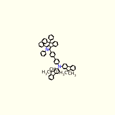 CC1(C)c2ccccc2-c2ccc(N(c3ccc(-c4ccc(-c5c6c(c(C7=CCCC=C7)n5-c5ccccc5)C(c5ccccc5)(c5ccccc5)c5ccccc5-6)cc4)cc3)c3ccc4c(c3)C(C)(C)c3ccccc3-4)cc21